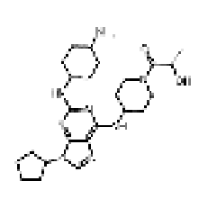 C[C@H](O)C(=O)N1CCC(Nc2nc(NC3CCC(N)CC3)nc3c2ncn3C2CCCC2)CC1